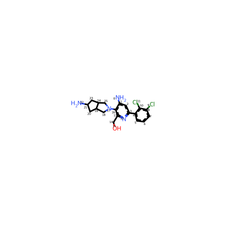 Nc1cc(-c2cccc(Cl)c2Cl)nc(CO)c1N1CC2CC(N)CC2C1